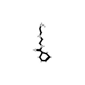 CCCOCCOC(=O)C1CC=CCC1